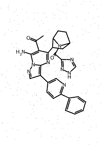 CC(=O)c1c(C2CC3CCC2N3C(=O)c2nc[nH]n2)nc2c(-c3ccc(-c4ccccc4)nc3)cnn2c1N